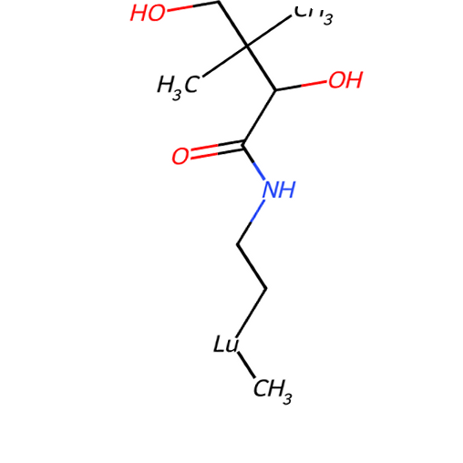 [CH3][Lu][CH2]CNC(=O)C(O)C(C)(C)CO